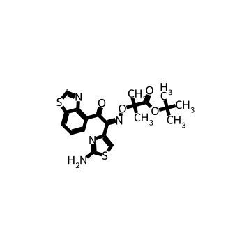 CC(C)(C)OC(=O)C(C)(C)O/N=C(\C(=O)c1cccc2s[c]nc12)c1csc(N)n1